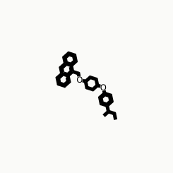 CCC(C)c1ccc(OC2CCC(OCc3c4ccccc4cc4ccccc34)CC2)cc1